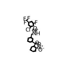 C[N+](C)(NCc1cccc(C(=O)c2ccccc2[N+](=O)[O-])c1)Oc1c(F)cc(C(F)(F)F)cc1Cl